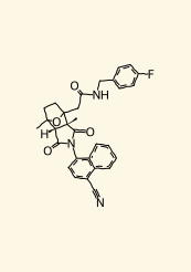 CC12CCC(CC(=O)NCc3ccc(F)cc3)(O1)[C@]1(C)C(=O)N(c3ccc(C#N)c4ccccc34)C(=O)[C@H]21